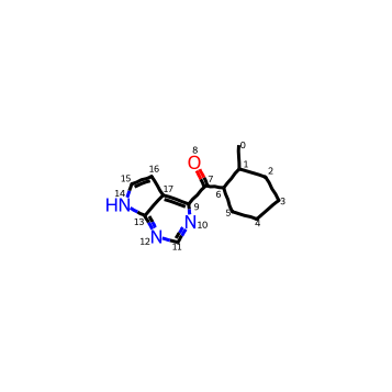 CC1CCCCC1C(=O)c1ncnc2[nH]ccc12